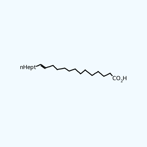 CCCCCCCC=CCCCCCCCCCCCC(=O)O